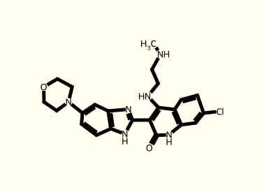 CNCCNc1c(-c2nc3cc(N4CCOCC4)ccc3[nH]2)c(=O)[nH]c2cc(Cl)ccc12